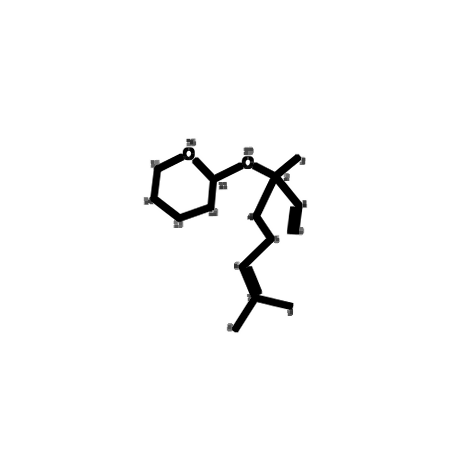 C=CC(C)(CCC=C(C)C)OC1CCCCO1